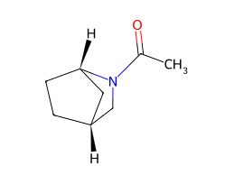 CC(=O)N1C[C@@H]2CC[C@H]1C2